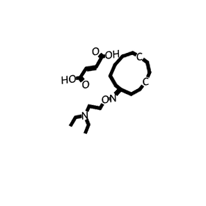 CCN(CC)CCON=C1CCCCCCCCCCC1.O=C(O)/C=C/C(=O)O